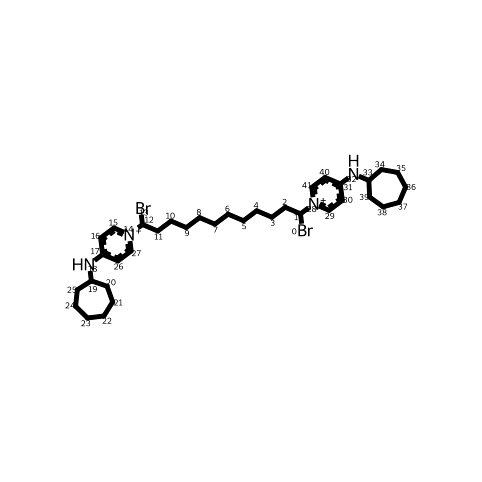 BrC(CCCCCCCCCCC(Br)[n+]1ccc(NC2CCCCCC2)cc1)[n+]1ccc(NC2CCCCCC2)cc1